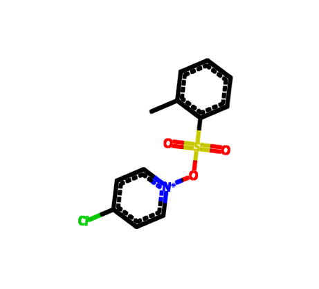 Cc1ccccc1S(=O)(=O)O[n+]1ccc(Cl)cc1